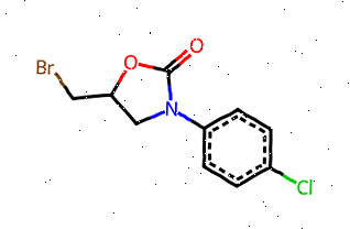 O=C1OC(CBr)CN1c1ccc(Cl)cc1